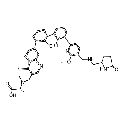 COc1nc(-c2cccc(-c3cccc(-c4ccn5c(=O)c(CN(C)[C@H](C)C(=O)O)cnc5c4)c3Cl)c2Cl)ccc1CNC[C@H]1CCC(=O)N1